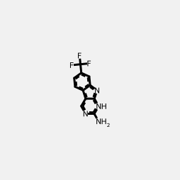 Nc1ncc2c3ccc(C(F)(F)F)cc3nc-2[nH]1